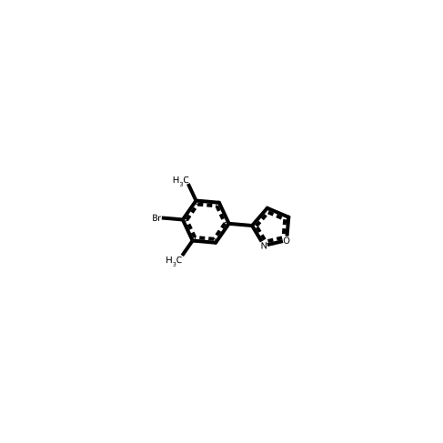 Cc1cc(-c2ccon2)cc(C)c1Br